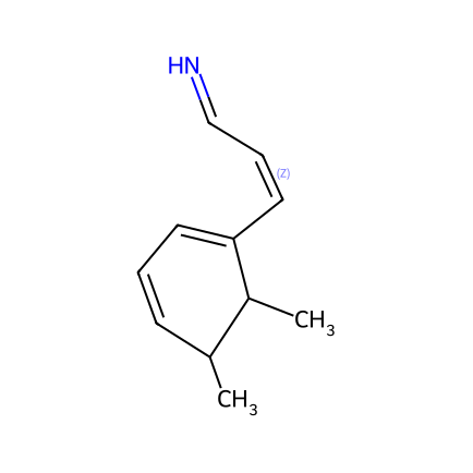 CC1C=CC=C(/C=C\C=N)C1C